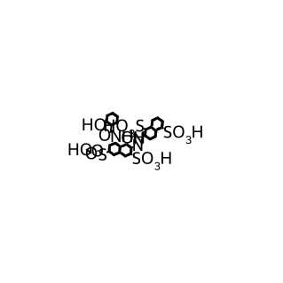 O=C(Nc1cc(SOOO)cc2cc(S(=O)(=O)O)c(/N=N/c3ccc4c(S(=O)(=O)O)cccc4c3S(=O)(=O)O)c(O)c12)c1ccccc1O